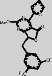 COc1nc(-c2ccco2)c2c(n1)C(Cc1cc(C(F)(F)F)cc(C(F)(F)F)c1)OC2=O